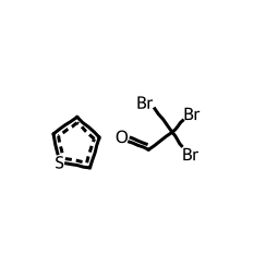 O=CC(Br)(Br)Br.c1ccsc1